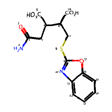 NC(=O)CC(C(=O)O)C(CSc1nc2ccccc2o1)C(=O)O